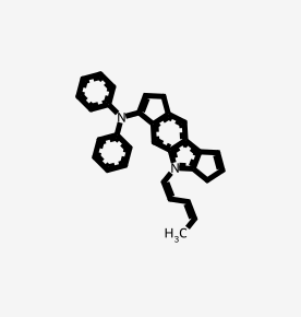 C/C=C\C=C/n1c2c(c3cc4c(cc31)C(N(c1ccccc1)c1ccccc1)=CC4)C=CC2